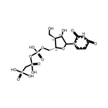 O=c1ccn(C2O[C@H](COP(=O)(O)OP(=O)(O)CP(=O)(O)O)[C@@H](CO)[C@H]2O)c(=O)[nH]1